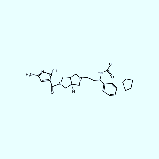 C1CCCC1.Cc1cc(C(=O)N2CC3CN(CCC(NC(=O)O)c4ccccc4)C[C@H]3C2)n(C)n1